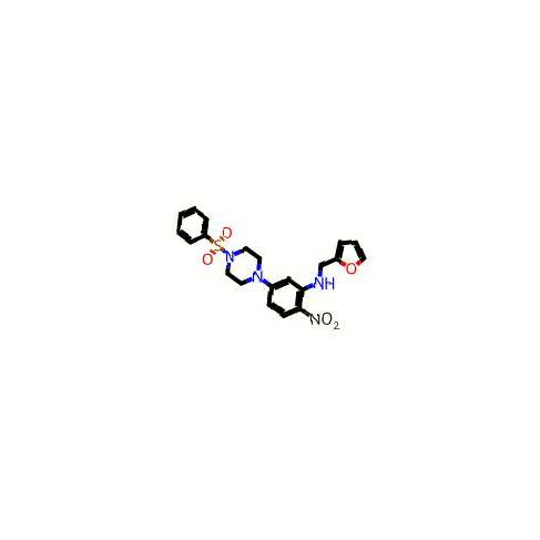 O=[N+]([O-])c1ccc(N2CCN(S(=O)(=O)c3ccccc3)CC2)cc1NCc1ccco1